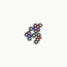 c1ccc(-c2ccccc2-c2cccc(N(c3cccc(-c4cccc(N(c5ccc(-c6cccc7oc8cc9ccccc9cc8c67)cc5)c5ccccc5-c5ccccc5)c4)c3)c3ccccc3-c3ccccc3)c2)cc1